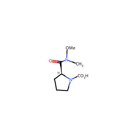 CON(C)C(=O)[C@@H]1CCCN1C(=O)O